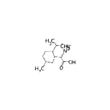 CC1CCC(C(C)C)C(C(=[N+]=[N-])C(=O)O)C1